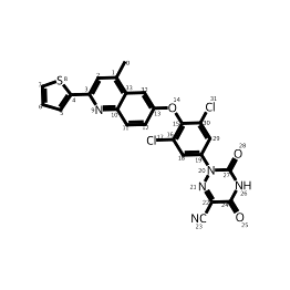 Cc1cc(-c2cccs2)nc2ccc(Oc3c(Cl)cc(-n4nc(C#N)c(=O)[nH]c4=O)cc3Cl)cc12